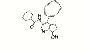 O=C(Nc1cnc2c(c1-c1ccccccccc1)CCC2O)C1CCCCC1